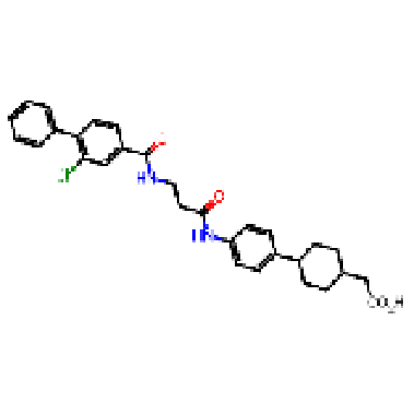 O=C(O)CC1CCC(c2ccc(NC(=O)CCNC(=O)c3ccc(-c4ccccc4)c(Cl)c3)cc2)CC1